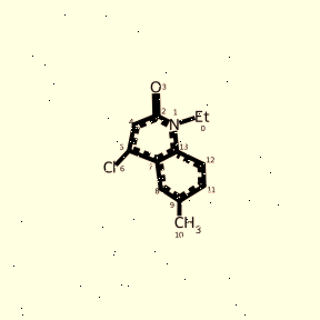 CCn1c(=O)cc(Cl)c2cc(C)ccc21